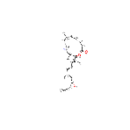 CCCC(C)C1OC1CC(C)C=CC=C(C)C1OC(=O)CCCCC(C)C/C=C/C1C